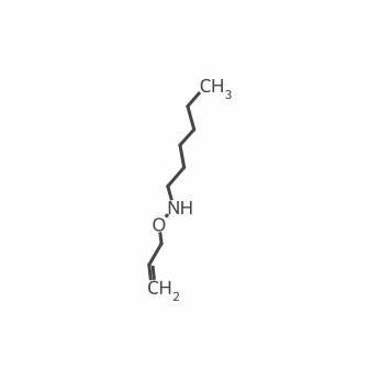 C=CCONCCCCCC